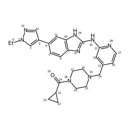 CCn1cc(-c2ccc3nc(Nc4cc(CN5CCN(C(=O)C6CC6)CC5)ccn4)[nH]c3c2)cn1